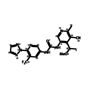 CO[C@H](C)c1c(NC(=O)Nc2cnc(-n3nccn3)c(C(F)(F)F)c2)cnc(C)c1C#N